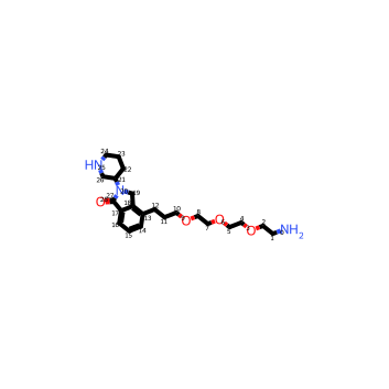 NCCOCCOCCOCCCc1cccc2c1CN(C1CCCNC1)C2=O